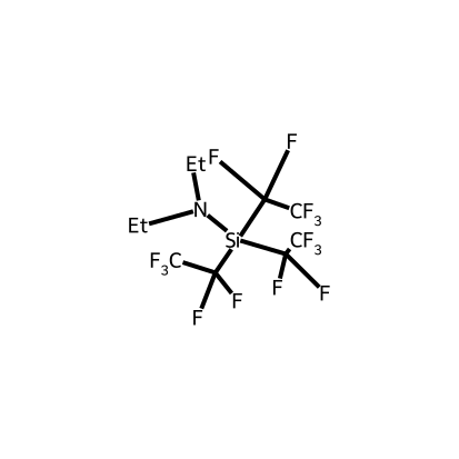 CCN(CC)[Si](C(F)(F)C(F)(F)F)(C(F)(F)C(F)(F)F)C(F)(F)C(F)(F)F